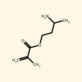 C=C(C)C(=O)OCCC(C)N